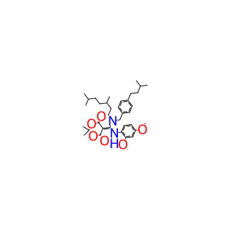 COc1ccc(NC(=C2C(=O)OC(C)(C)OC2=O)N(CCC(C)CCC(C)C)Cc2ccc(CCC(C)C)cc2)c(OC)c1